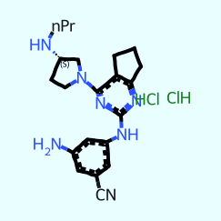 CCCN[C@H]1CCN(c2nc(Nc3cc(N)cc(C#N)c3)nc3c2CCC3)C1.Cl.Cl